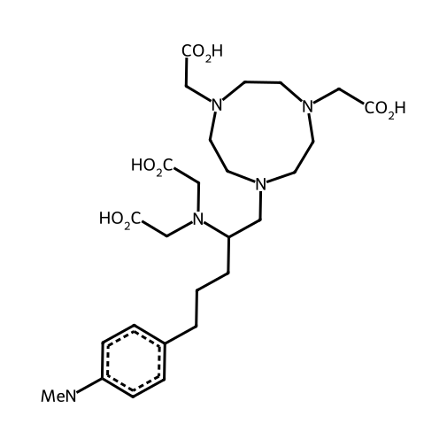 CNc1ccc(CCCC(CN2CCN(CC(=O)O)CCN(CC(=O)O)CC2)N(CC(=O)O)CC(=O)O)cc1